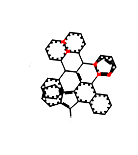 [Cl-].[Cl-].[Zr+2][C]1=c2ccccc2=c2c1c1ccccc1c(C1=CC=CC1)c2=C(C(c1ccccc1)c1ccccc1)C(c1ccccc1)c1ccccc1